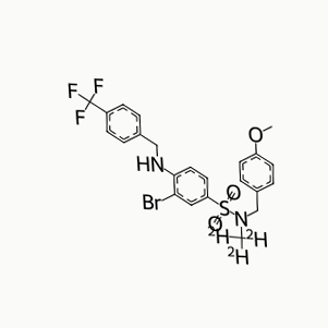 [2H]C([2H])([2H])N(Cc1ccc(OC)cc1)S(=O)(=O)c1ccc(NCc2ccc(C(F)(F)F)cc2)c(Br)c1